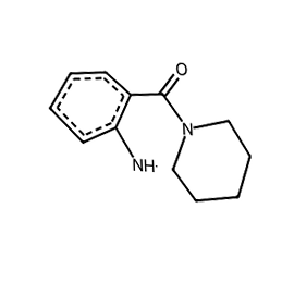 [NH]c1ccccc1C(=O)N1CCCCC1